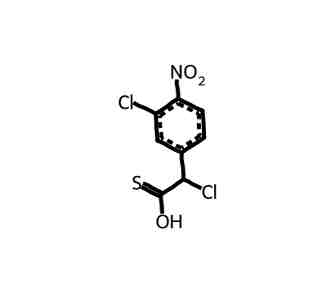 O=[N+]([O-])c1ccc(C(Cl)C(O)=S)cc1Cl